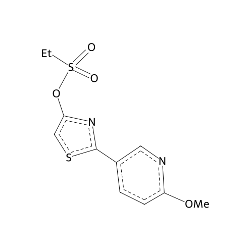 CCS(=O)(=O)Oc1csc(-c2ccc(OC)nc2)n1